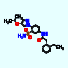 CCc1ccccc1CC(=O)Nc1ccc(-n2cc(OC(C)C)cn2)c(S(N)(=O)=O)c1